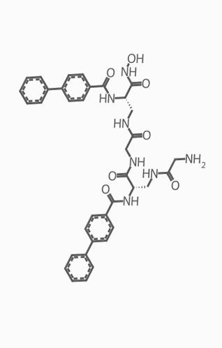 NCC(=O)NC[C@H](NC(=O)c1ccc(-c2ccccc2)cc1)C(=O)NCC(=O)NC[C@H](NC(=O)c1ccc(-c2ccccc2)cc1)C(=O)NO